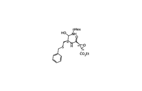 CCCCCCNC(O)[C@H](CSCc1ccccc1)NC(=O)[C@H]1O[C@@H]1C(=O)OCC